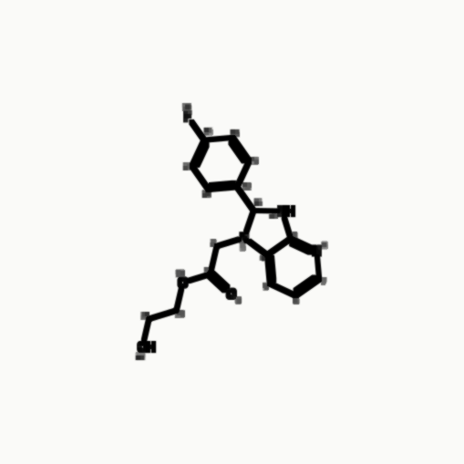 O=C(CN1c2cccnc2NC1c1ccc(F)cc1)OCCO